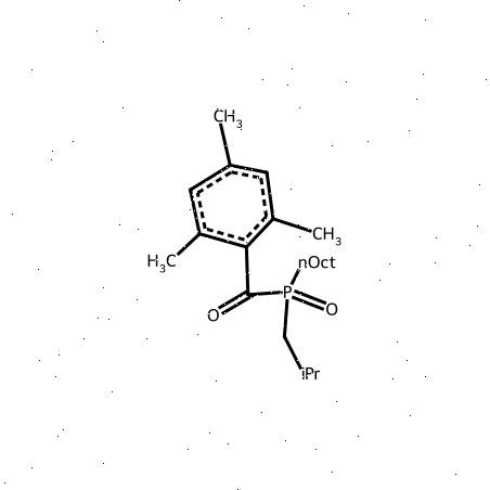 CCCCCCCCP(=O)(CC(C)C)C(=O)c1c(C)cc(C)cc1C